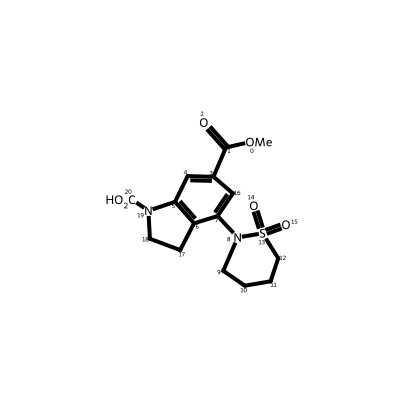 COC(=O)c1cc2c(c(N3CCCCS3(=O)=O)c1)CCN2C(=O)O